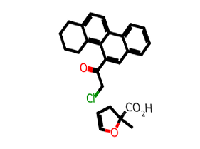 CC1(C(=O)O)CC=CO1.O=C(CCl)c1cc2ccccc2c2ccc3c(c12)CCCC3